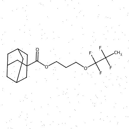 CC(F)(F)C(F)(F)OCCCOC(=O)C12CC3CC(CC(C3)C1)C2